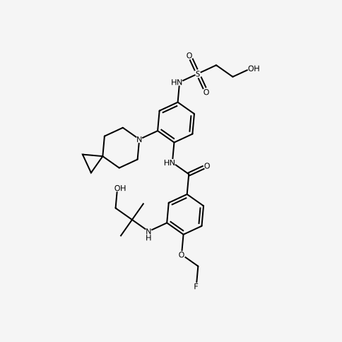 CC(C)(CO)Nc1cc(C(=O)Nc2ccc(NS(=O)(=O)CCO)cc2N2CCC3(CC2)CC3)ccc1OCF